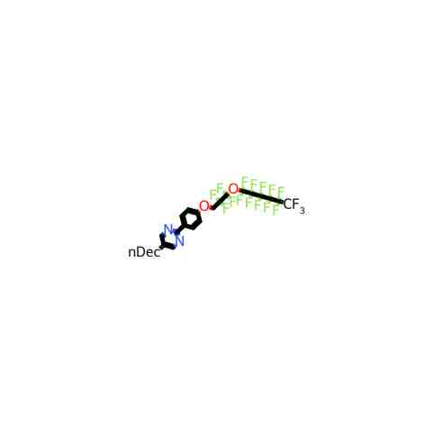 CCCCCCCCCCc1cnc(-c2ccc(OCC(F)(F)C(F)(F)OC(F)(F)C(F)(F)C(F)(F)C(F)(F)C(F)(F)C(F)(F)F)cc2)nc1